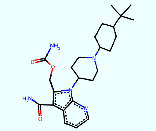 CC(C)(C)C1CCC(N2CCC(n3c(COC(N)=O)c(C(N)=O)c4cccnc43)CC2)CC1